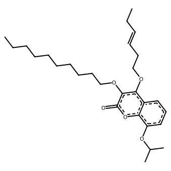 CC/C=C/CCOc1c(OCCCCCCCCCC)c(=O)oc2c(OC(C)C)cccc12